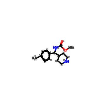 CC(C)(C)OC(=O)NC(c1ccc([N+](=O)[O-])cc1)C1CCNCC1